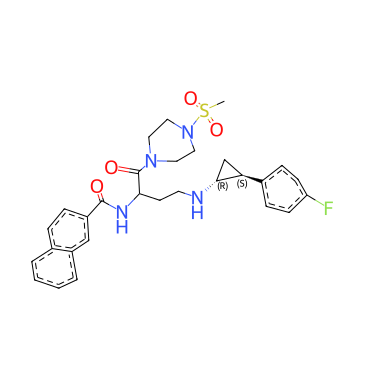 CS(=O)(=O)N1CCN(C(=O)C(CCN[C@@H]2C[C@H]2c2ccc(F)cc2)NC(=O)c2ccc3ccccc3c2)CC1